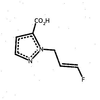 O=C(O)c1ccnn1C/C=C/F